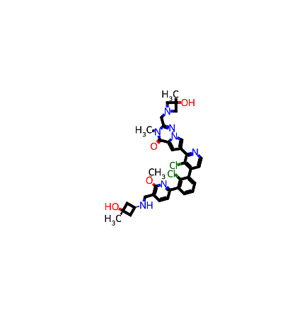 COc1nc(-c2cccc(-c3ccnc(-c4cc5c(=O)n(C)c(CN6CC(C)(O)C6)nn5c4)c3Cl)c2Cl)ccc1CN[C@H]1C[C@@](C)(O)C1